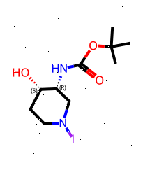 CC(C)(C)OC(=O)N[C@@H]1CN(I)CC[C@@H]1O